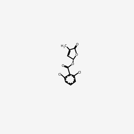 CC1=C[C@H](OC(=O)c2c(Cl)cccc2Cl)OC1=O